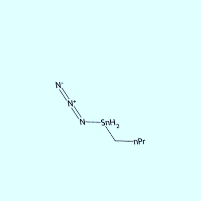 CCC[CH2][SnH2][N]=[N+]=[N-]